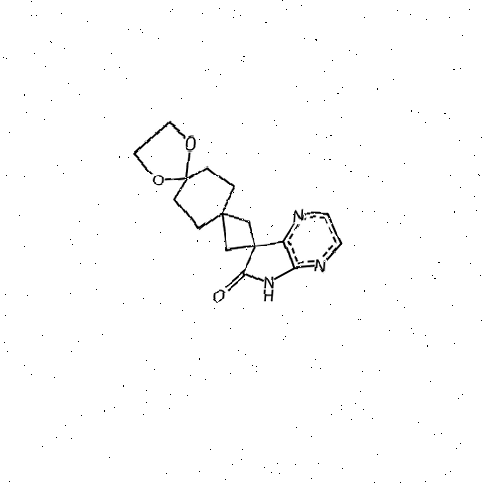 O=C1Nc2nccnc2C12CC1(CCC3(CC1)OCCO3)C2